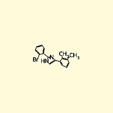 Cc1cccc(-c2c[nH]c(-c3ccccc3Br)n2)c1C